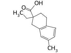 CCC1(C(=O)O)CCc2ccc(C)cc2C1